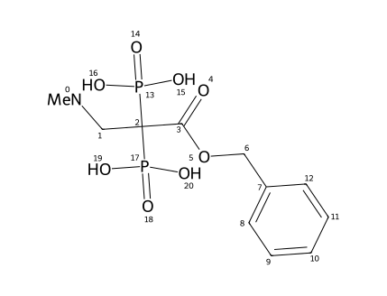 CNCC(C(=O)OCc1ccccc1)(P(=O)(O)O)P(=O)(O)O